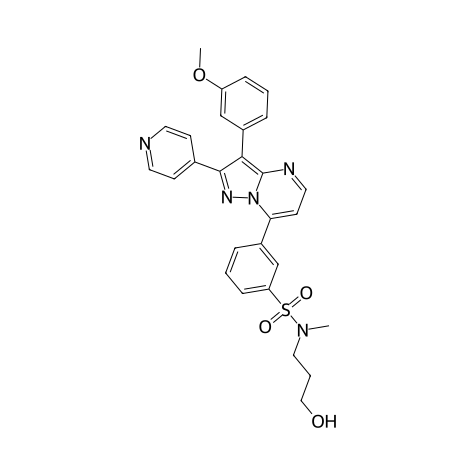 COc1cccc(-c2c(-c3ccncc3)nn3c(-c4cccc(S(=O)(=O)N(C)CCCO)c4)ccnc23)c1